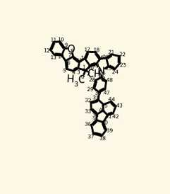 CC1(C)c2ccc3c(oc4ccccc43)c2-c2ccc3c4ccccc4n(-c4ccc(C5=CC=C6c7ccccc7C7=CC=CC5C76)cc4)c3c21